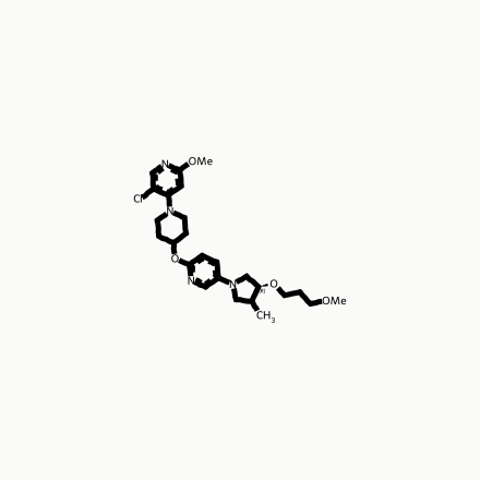 COCCCO[C@H]1CN(c2ccc(OC3CCN(c4cc(OC)ncc4Cl)CC3)nc2)CC1C